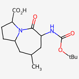 CC1CC(NC(=O)OC(C)(C)C)C(=O)N2C(CCC2C(=O)O)C1